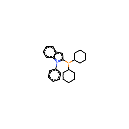 c1ccc(-n2c(P(C3CCCCC3)C3CCCCC3)cc3ccccc32)cc1